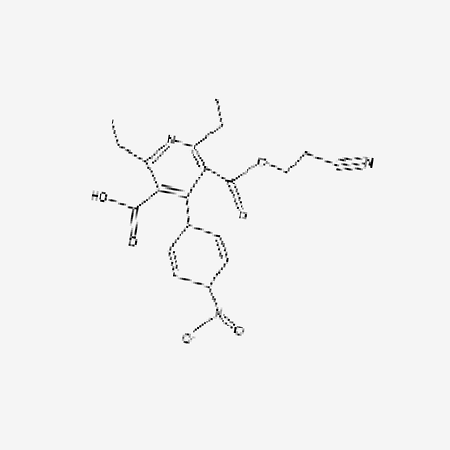 CCc1nc(CC)c(C(=O)OCCC#N)c(C2C=CC([N+](=O)[O-])C=C2)c1C(=O)O